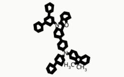 CC1(C)c2ccccc2-c2ccc(N(c3ccc(-c4ccccc4)cc3)c3ccc(-c4ccc5c(c4)c4oc6ccccc6c4n5-c4cc(-c5ccccc5)cc(-c5ccccc5)c4)cc3)cc21